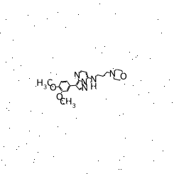 COc1ccc(-c2cnn3c(NCCCN4CCOCC4)ccnc23)cc1OC